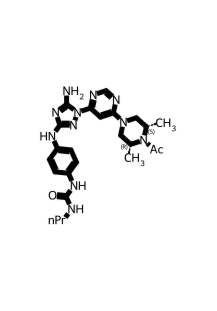 CCCNC(=O)Nc1ccc(Nc2nc(N)n(-c3cc(N4C[C@@H](C)N(C(C)=O)[C@@H](C)C4)ncn3)n2)cc1